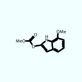 COC(=O)Oc1cc2cccc(OC)c2[nH]1